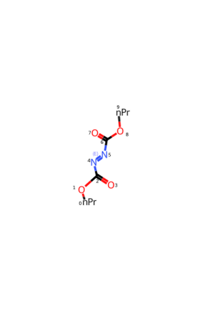 CCCOC(=O)/N=N/C(=O)OCCC